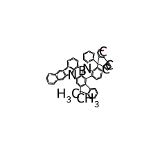 CC1(C)c2ccccc2-c2c1cc1c3c2-c2cccc4c2N(B3c2cccc3c5cc6ccccc6cc5n-1c23)c1ccccc1C41c2ccccc2-c2ccccc21